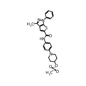 Cc1nn(-c2ccccc2)c2sc(C(=O)Nc3ccc(N4CCC(OS(C)(=O)=O)CC4)cc3)cc12